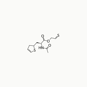 CC(=O)N[C@@H](CC1CC=CS1)C(=O)OCC=S